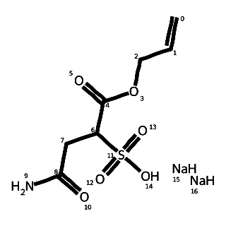 C=CCOC(=O)C(CC(N)=O)S(=O)(=O)O.[NaH].[NaH]